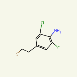 Nc1c(Cl)cc(CC[S])cc1Cl